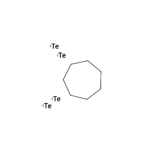 C1CCCCCC1.[Te].[Te].[Te].[Te]